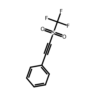 O=S(=O)(C#Cc1ccccc1)C(F)(F)F